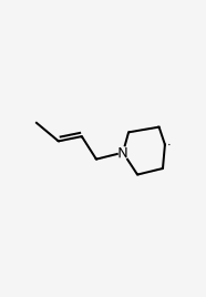 CC=CCN1CC[CH]CC1